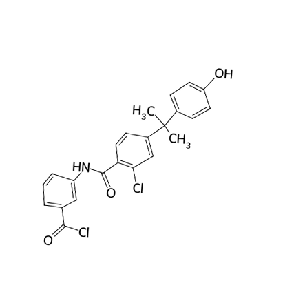 CC(C)(c1ccc(O)cc1)c1ccc(C(=O)Nc2cccc(C(=O)Cl)c2)c(Cl)c1